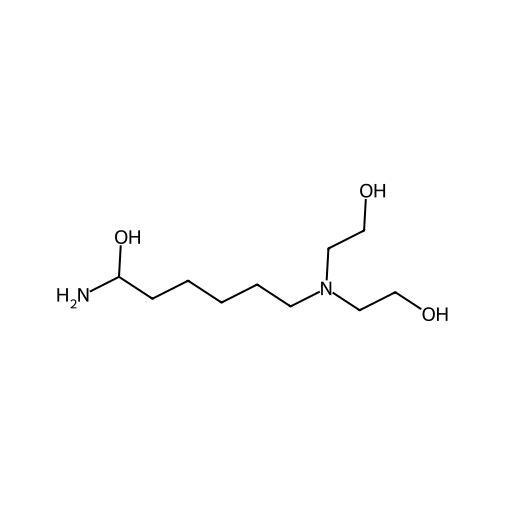 NC(O)CCCCCN(CCO)CCO